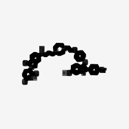 O=C1CCC(N2Cc3cc(NCCCN4CCCN(CCOc5ccc(Oc6c(-c7ccc(Br)cc7)sc7cc(O)ccc67)cc5)CC4)ccc3C2=O)C(=O)N1